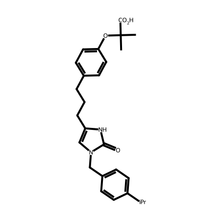 CC(C)c1ccc(Cn2cc(CCCc3ccc(OC(C)(C)C(=O)O)cc3)[nH]c2=O)cc1